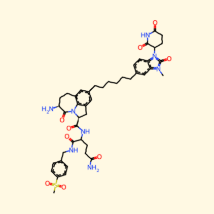 Cn1c(=O)n(C2CCC(=O)NC2=O)c2ccc(CCCCCCc3cc4c5c(c3)C[C@@H](C(=O)NC(CCC(N)=O)C(=O)NCc3ccc(S(C)(=O)=O)cc3)N5C(=O)[C@@H](N)CC4)cc21